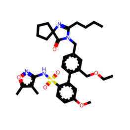 CCCCC1=NC2(CCCC2)C(=O)N1Cc1ccc(-c2cc(OC)ccc2S(=O)(=O)Nc2noc(C)c2C)c(COCC)c1